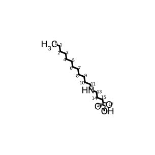 CCCCCCCCCCCCNCCCS(=O)(=O)O